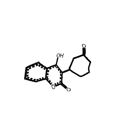 O=C1CCCC(c2c(O)c3ccccc3oc2=O)C1